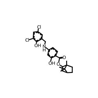 CC1(C)C2CCC1(C)C(OC(=O)c1ccc(NCc3cc(Cl)cc(Cl)c3O)cc1O)C2